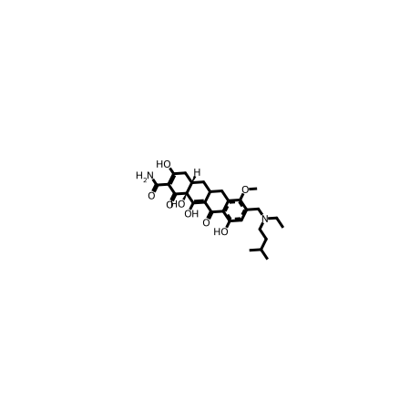 CCN(CCC(C)C)Cc1cc(O)c2c(c1OC)CC1C[C@H]3CC(O)=C(C(N)=O)C(=O)[C@@]3(O)C(O)=C1C2=O